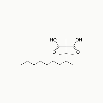 CCCCCCCC(C)C(C)(C)C(C)(C(=O)O)C(=O)O